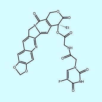 CC[C@@]1(OC(=O)CNC(=O)Cn2cc(F)c(=O)[nH]c2=O)C(=O)OCc2c1cc1n(c2=O)Cc2cc3cc4c(cc3nc2-1)OCO4